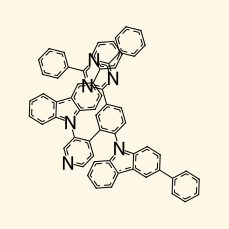 c1ccc(-c2ccc3c(c2)c2ccccc2n3-c2ccc(-c3nc(-c4ccccc4)nc(-c4ccccc4)n3)cc2-c2ccncc2-n2c3ccccc3c3cc(-c4ccccc4)ccc32)cc1